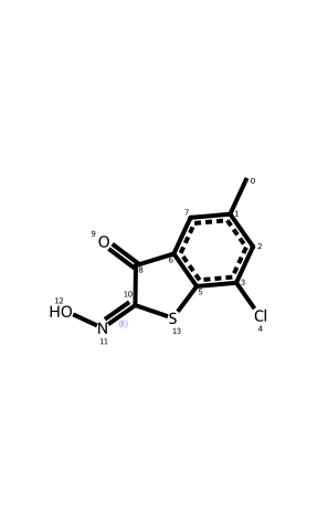 Cc1cc(Cl)c2c(c1)C(=O)/C(=N\O)S2